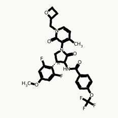 COc1cc(F)c([C@@H]2CN(c3c(C)ccn(CC4CCO4)c3=O)C(=O)C2NC(=O)c2ccc(OC(F)(F)F)cc2)c(F)c1